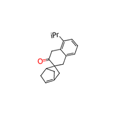 CC(C)c1cccc2c1CC(=O)C1(CC3=CCC1C3)C2